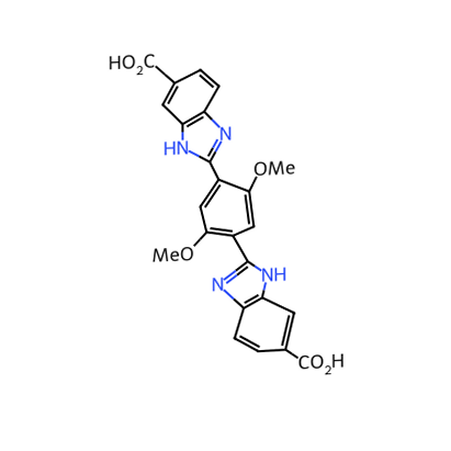 COc1cc(-c2nc3ccc(C(=O)O)cc3[nH]2)c(OC)cc1-c1nc2ccc(C(=O)O)cc2[nH]1